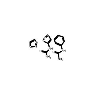 NC(=O)Nc1ccccc1.NC(=O)Nc1cnns1.c1csnn1